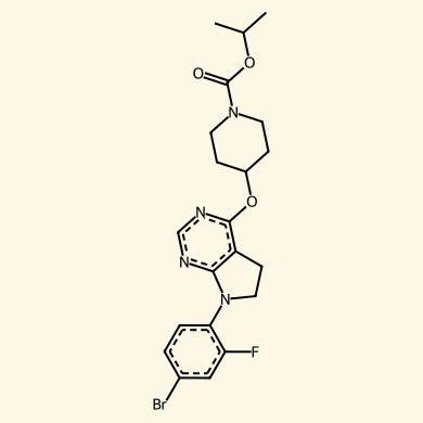 CC(C)OC(=O)N1CCC(Oc2ncnc3c2CCN3c2ccc(Br)cc2F)CC1